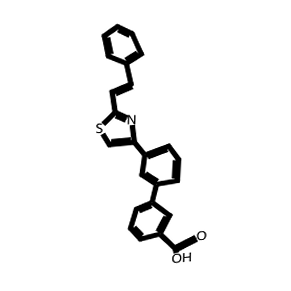 O=C(O)c1cccc(-c2cccc(-c3csc(C=Cc4ccccc4)n3)c2)c1